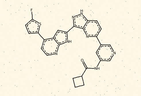 O=C(Nc1cncc(-c2ccc3[nH]nc(-c4cc5c(-c6ccc(F)s6)ccnc5[nH]4)c3n2)c1)C1CCC1